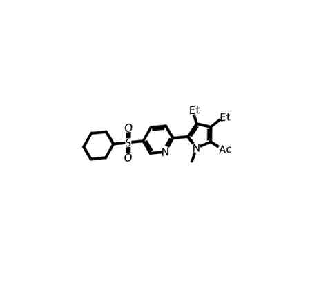 CCc1c(CC)c(-c2ccc(S(=O)(=O)C3CCCCC3)cn2)n(C)c1C(C)=O